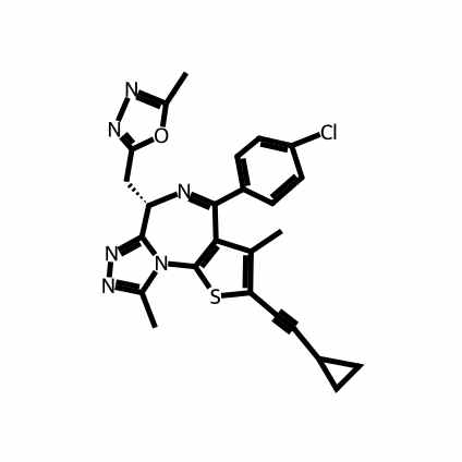 Cc1nnc(C[C@@H]2N=C(c3ccc(Cl)cc3)c3c(sc(C#CC4CC4)c3C)-n3c(C)nnc32)o1